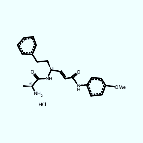 COc1ccc(NC(=O)C=C[C@H](CCc2ccccc2)NC(=O)[C@H](C)N)cc1.Cl